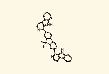 FC1(F)c2cc(-c3nccc4c3[nH]c3ccccc34)ccc2-c2ccc(-c3nccc4c3[nH]c3ccccc34)cc21